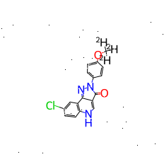 [2H]C([2H])([2H])Oc1ccc(-n2nc3c4cc(Cl)ccc4[nH]cc-3c2=O)cc1